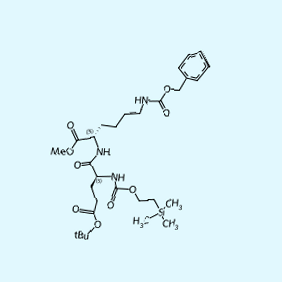 COC(=O)[C@H](CCCCNC(=O)OCc1ccccc1)NC(=O)[C@H](CCC(=O)OC(C)(C)C)NC(=O)OCC[Si](C)(C)C